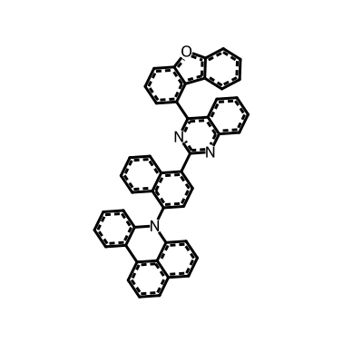 c1ccc2c(c1)-c1cccc3cccc(c13)N2c1ccc(-c2nc(-c3cccc4oc5ccccc5c34)c3ccccc3n2)c2ccccc12